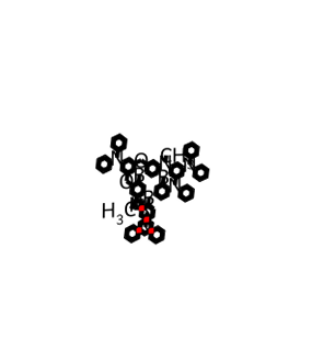 CN1c2cc3c(cc2B2c4ccccc4N(c4ccccc4)c4cc(N(c5ccccc5)c5ccccc5)cc1c42)B1c2cc4c(cc2Oc2cc(N(c5ccccc5)c5ccccc5)cc(c21)O3)N(C)c1cc(N(c2ccccc2)c2ccccc2)cc2c1B4c1ccccc1N2c1ccccc1